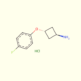 Cl.N[C@H]1C[C@H](Oc2ccc(F)cc2)C1